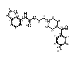 O=C(Nc1cccc2ccoc12)OCCN1CCC(C(=O)c2ccc(F)cc2)CC1